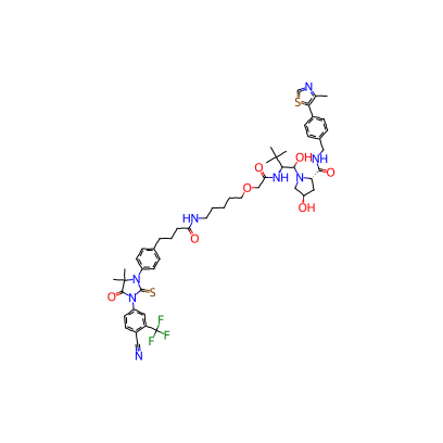 Cc1ncsc1-c1ccc(CNC(=O)[C@@H]2C[C@@H](O)CN2C(O)[C@@H](NC(=O)COCCCCCNC(=O)CCCc2ccc(N3C(=S)N(c4ccc(C#N)c(C(F)(F)F)c4)C(=O)C3(C)C)cc2)C(C)(C)C)cc1